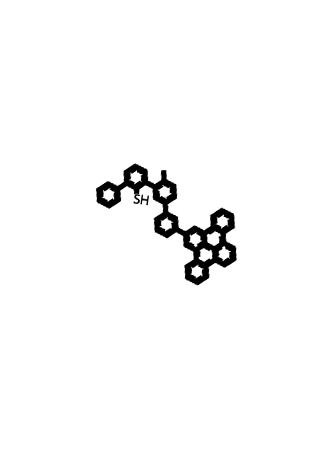 Cc1ccc(-c2cccc(-c3cc4c5ccccc5c5cccc6c7ccccc7c(c3)c4c56)c2)cc1-c1cccc(-c2ccccc2)c1S